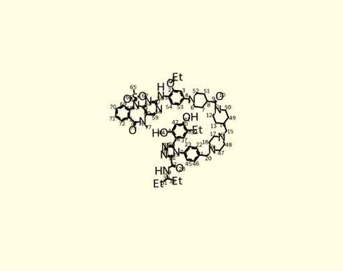 CCOc1cc(N2CCC(C(=O)N3CCC(CN4CCN(Cc5ccc(-n6c(C(=O)NC(CC)CC)nnc6-c6cc(CC)c(O)cc6O)cc5)CC4)CC3)CC2)ccc1Nc1ncc2c(n1)N(S(C)(=O)=O)c1ccccc1C(=O)N2C